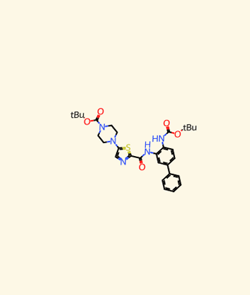 CC(C)(C)OC(=O)Nc1ccc(-c2ccccc2)cc1NC(=O)c1ncc(N2CCN(C(=O)OC(C)(C)C)CC2)s1